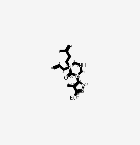 C=CC[N+]1(CCC(=C)C)CNCN(c2snc(CC)c2C)C1=O